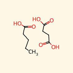 CCCCC(=O)O.O=C(O)CCC(=O)O